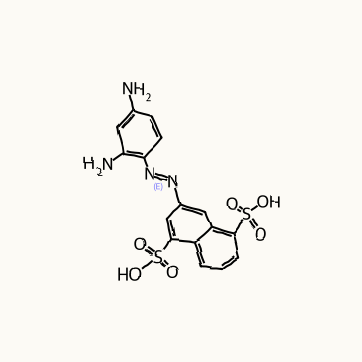 Nc1ccc(/N=N/c2cc(S(=O)(=O)O)c3cccc(S(=O)(=O)O)c3c2)c(N)c1